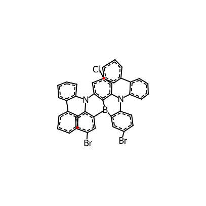 Clc1cc2c3c(c1)N(c1ccccc1-c1ccccc1)c1ccc(Br)cc1B3c1cc(Br)ccc1N2c1ccccc1-c1ccccc1